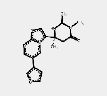 C=C1N[C@](C)(c2cnc3ccc(-c4ccoc4)cn23)CC(=O)N1C